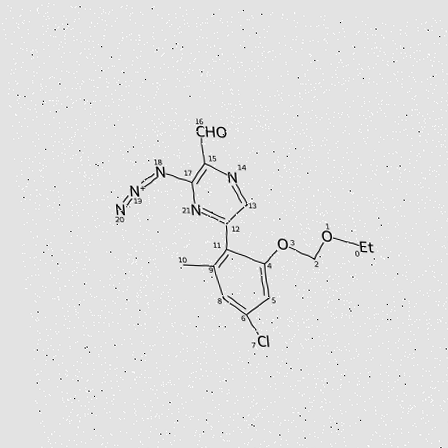 CCOCOc1cc(Cl)cc(C)c1-c1cnc(C=O)c(N=[N+]=[N-])n1